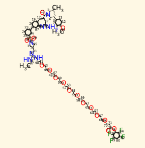 CCCN(CCc1ccc(OC)cc1)C(=O)C1=Cc2ccc(-c3cccc(S(=O)(=O)N4CC(CN=C(NCC)NCCOCCOCCOCCOCCOCCOCCOCCOCCOCCOCCC(=O)Oc5c(F)c(F)cc(F)c5F)C4)c3)cc2N=C(N)C1